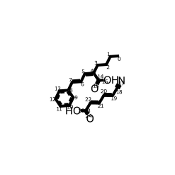 CCCCC(=CC=Cc1ccccc1)C(=O)O.N#CC=CC=CC(=O)O